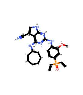 C=CP(=O)(C=C)c1ccc(Nc2nc(NC3CCCCCC3)c3c(C#N)c[nH]c3n2)c(OC)c1